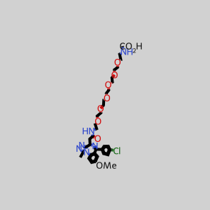 COc1ccc2c(c1)C(c1ccc(Cl)cc1)=NC(CC(=O)NCCOCCOCCOCCOCCOCCOCCNC(=O)O)c1nnc(C)n1-2